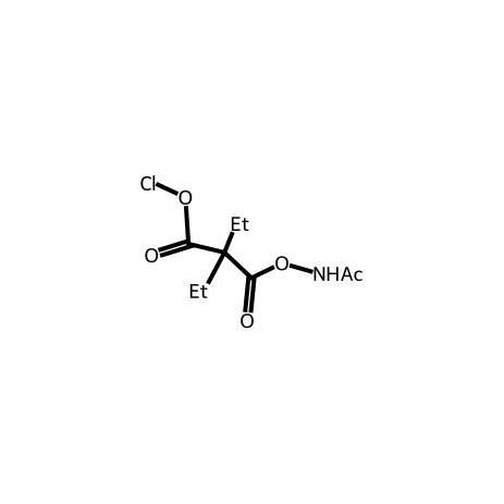 CCC(CC)(C(=O)OCl)C(=O)ONC(C)=O